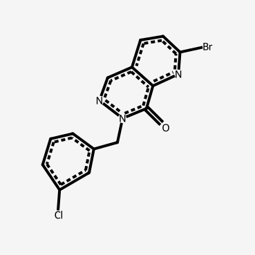 O=c1c2nc(Br)ccc2cnn1Cc1cccc(Cl)c1